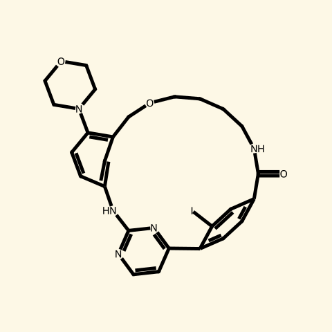 O=C1NCCCCOCc2cc(ccc2N2CCOCC2)Nc2nccc(n2)-c2ccc1cc2I